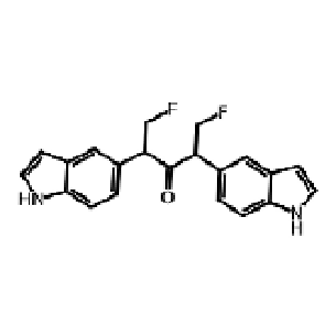 O=C(C(CF)c1ccc2[nH]ccc2c1)C(CF)c1ccc2[nH]ccc2c1